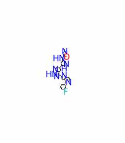 CN(C)CC(=O)Nc1cncc(-c2cnc3[nH]nc(-c4cc5c(-c6cccc(F)c6)nccc5[nH]4)c3c2)c1